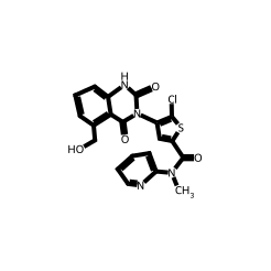 CN(C(=O)c1cc(-n2c(=O)[nH]c3cccc(CO)c3c2=O)c(Cl)s1)c1ccccn1